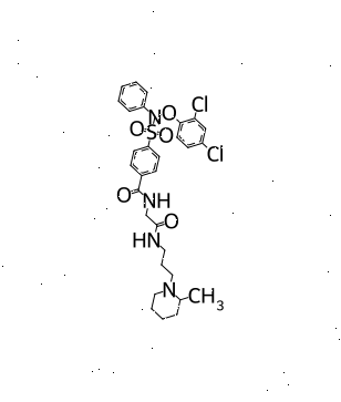 CC1CCCCN1CCCNC(=O)CNC(=O)c1ccc(S(=O)(=O)N(Oc2ccc(Cl)cc2Cl)c2ccccc2)cc1